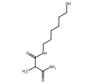 C[C](C(N)=O)C(=O)NCCCCCCO